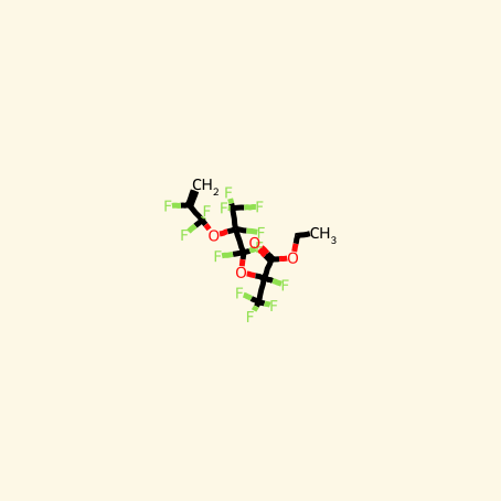 C=C(F)C(F)(F)OC(F)(C(F)(F)F)C(F)(F)OC(F)(C(=O)OCC)C(F)(F)F